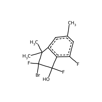 Cc1cc(F)c2c(c1)C(C)(C)C(F)(Br)C2(O)F